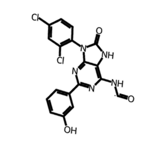 O=[C]Nc1nc(-c2cccc(O)c2)nc2c1[nH]c(=O)n2-c1ccc(Cl)cc1Cl